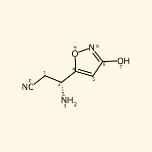 N#CC[C@@H](N)c1cc(O)no1